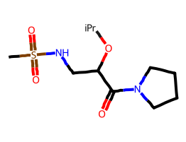 CC(C)OC(CNS(C)(=O)=O)C(=O)N1CCCC1